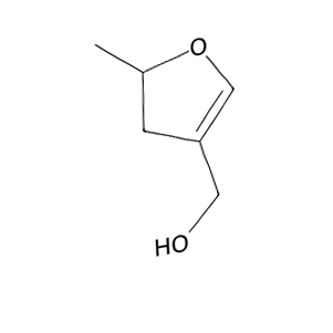 CC1CC(CO)=CO1